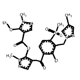 CCOc1c(C(=O)Oc2c(C(=O)c3ccc(S(C)(=O)=O)c(Cn4cc(C)cn4)c3Cl)cnn2C)cnn1C